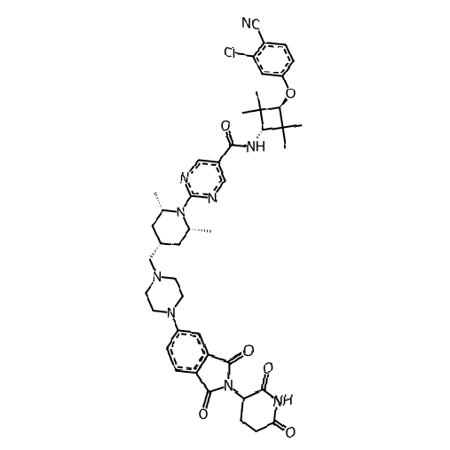 C[C@@H]1C[C@H](CN2CCN(c3ccc4c(c3)C(=O)N(C3CCC(=O)NC3=O)C4=O)CC2)C[C@H](C)N1c1ncc(C(=O)N[C@H]2C(C)(C)[C@H](Oc3ccc(C#N)c(Cl)c3)C2(C)C)cn1